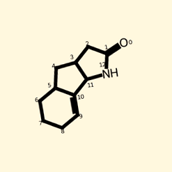 O=C1CC2CC3CCCC=C3C2N1